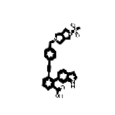 CS(=O)(=O)N1CC2CN(Cc3ccc(C#Cc4cccc(C(=O)O)c4-c4ccc5cc[nH]c5c4)cc3)CC2C1